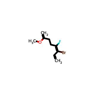 C=C/C(Br)=C(/F)CCC(=C)OC